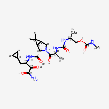 CC(C)NC(=O)OC[C@@H](NC(=O)N[C@H](C(=O)N1CC2C([C@H]1C(=O)NC(CC1CC1)C(=O)C(N)=O)C2(C)C)C(C)(C)C)C(C)(C)C